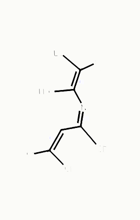 CC/C(C)=C(C)/N=C(\C=C(/C)Cl)C(F)(F)F